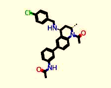 CC(=O)Nc1cccc(-c2ccc3c(c2)[C@H](NCc2ccc(Cl)cc2)C[C@H](C)N3C(C)=O)c1